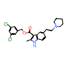 Cc1[nH]c2ccc(CCN3CCCCC3)cc2c1C(=O)OCc1cc(Cl)cc(Cl)c1